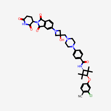 CC1(C)[C@H](NC(=O)c2ccc(N3CCN(CC4(O)CN(c5ccc6c(c5)C(=O)N(C5CCC(=O)NC5=O)C6=O)C4)CC3)cc2)C(C)(C)[C@H]1Oc1ccc(C#N)c(Cl)c1